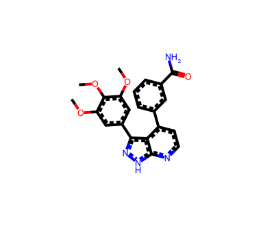 COc1cc(-c2n[nH]c3nccc(-c4cccc(C(N)=O)c4)c23)cc(OC)c1OC